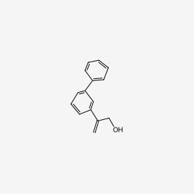 C=C(CO)c1cccc(-c2ccccc2)c1